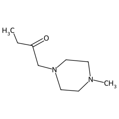 CCC(=O)CN1CCN(C)CC1